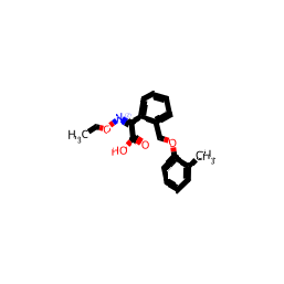 CCO/N=C(\C(=O)O)c1ccccc1COc1ccccc1C